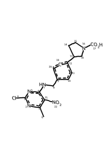 Cc1nc(Cl)nc(NCc2ccc(C3CCN(C(=O)O)C3)cc2)c1[N+](=O)[O-]